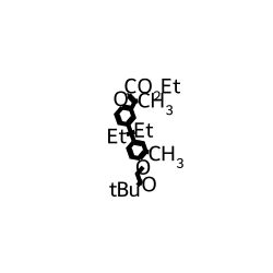 CCOC(=O)c1oc2ccc(C(CC)(CC)c3ccc(OCC(=O)C(C)(C)C)c(C)c3)cc2c1C